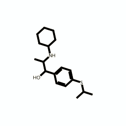 CC(C)Sc1ccc(C(O)C(C)NC2CCCCC2)cc1